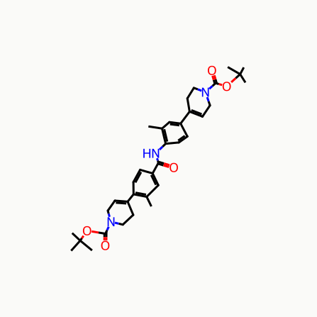 Cc1cc(C2=CCN(C(=O)OC(C)(C)C)CC2)ccc1NC(=O)c1ccc(C2=CCN(C(=O)OC(C)(C)C)CC2)c(C)c1